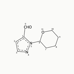 O=Cc1ccnn1C1CCCCO1